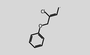 [CH2]C=C(Cl)COc1ccccc1